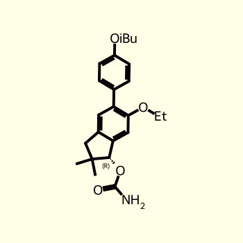 CCOc1cc2c(cc1-c1ccc(OCC(C)C)cc1)CC(C)(C)[C@H]2OC(N)=O